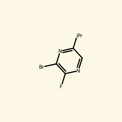 CC(C)c1cnc(F)c(Br)n1